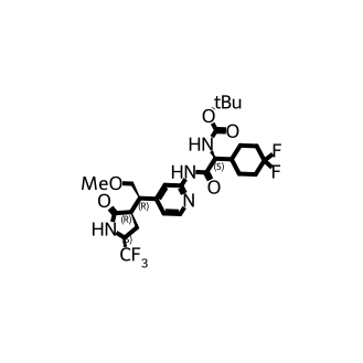 COC[C@@H](c1ccnc(NC(=O)[C@@H](NC(=O)OC(C)(C)C)C2CCC(F)(F)CC2)c1)[C@H]1C[C@@H](C(F)(F)F)NC1=O